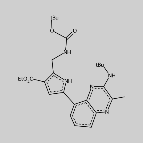 CCOC(=O)c1cc(-c2cccc3nc(C)c(NC(C)(C)C)nc23)[nH]c1CNC(=O)OC(C)(C)C